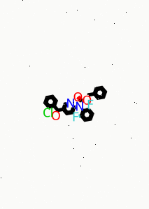 O=C(c1ccc(N(C(=O)OCc2ccccc2)c2c(F)cccc2F)nc1)c1ccccc1Cl